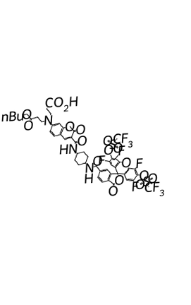 CCCCOC(=O)CCN(CCC(=O)O)c1ccc2cc(C(=O)N[C@H]3CC[C@H](NC(=O)c4ccc5c(c4)C4(OC5=O)c5cc(F)c(OS(=O)(=O)C(F)(F)F)c(F)c5Oc5c4cc(F)c(OS(=O)(=O)C(F)(F)F)c5F)CC3)c(=O)oc2c1